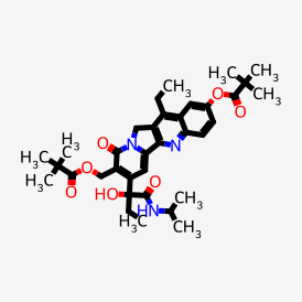 CCc1c2c(nc3ccc(OC(=O)C(C)(C)C)cc13)-c1cc(C(O)(CC)C(=O)NC(C)C)c(COC(=O)C(C)(C)C)c(=O)n1C2